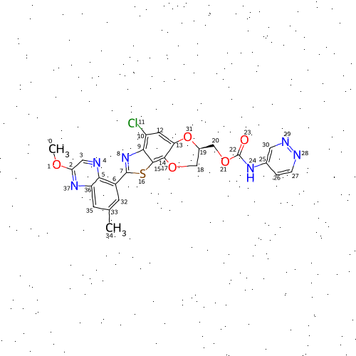 COc1cnc2c(-c3nc4c(Cl)cc5c(c4s3)OC[C@H](COC(=O)Nc3ccnnc3)O5)cc(C)cc2n1